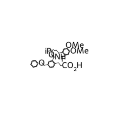 COc1cc(F)c(C(CC(C)C)NC(=O)c2cc(COc3ccccc3)ccc2CCC(=O)O)cc1OC